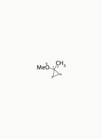 [CH2]OC1(C)CC1